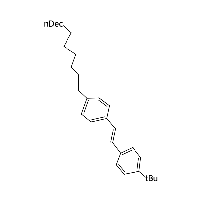 CCCCCCCCCCCCCCCCc1ccc(C=Cc2ccc(C(C)(C)C)cc2)cc1